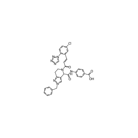 O=C(O)c1ccc(NC(=O)C2c3cn(Cc4ccccc4)nc3CCN2C(=O)C=Cc2cc(Cl)ccc2-n2cnnn2)cc1